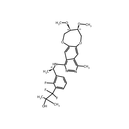 CO[C@H]1COc2cc3c(C)nnc(N[C@H](C)c4cccc(C(F)(F)C(C)(C)O)c4F)c3cc2OC[C@H]1OC